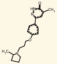 Cc1cc(-c2ccc(OCCCN3CCCC3C)cc2)n[nH]c1=O